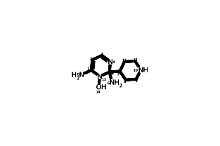 NC1=CC=NC(N)(C2CCNCC2)N1O